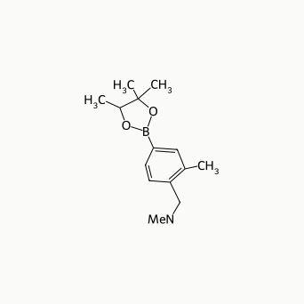 CNCc1ccc(B2OC(C)C(C)(C)O2)cc1C